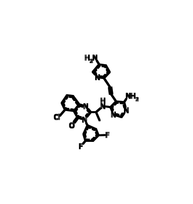 CC(Nc1ncnc(N)c1C#Cc1ccc(N)cn1)c1nc2cccc(Cl)c2c(=O)n1-c1cc(F)cc(F)c1